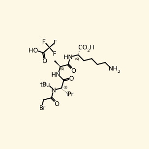 CC(C)[C@@H](C(=O)N[C@@H](C)C(=O)N[C@@H](CCCCN)C(=O)O)N(C(=O)CBr)C(C)(C)C.O=C(O)C(F)(F)F